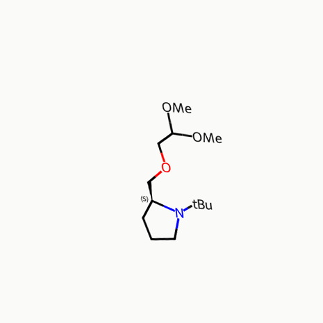 COC(COC[C@@H]1CCCN1C(C)(C)C)OC